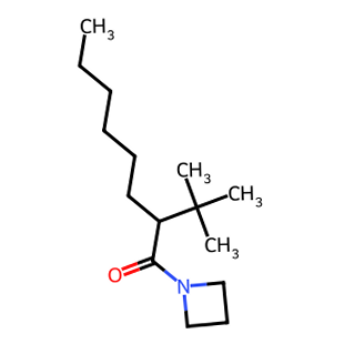 CCCCCCC(C(=O)N1CCC1)C(C)(C)C